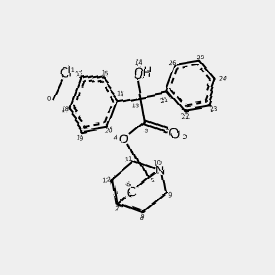 CCl.O=C(OC1CC2CCN1CC2)C(O)(c1ccccc1)c1ccccc1